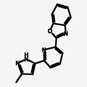 Cc1cc(-c2cccc(-c3nc4ccccc4o3)n2)[nH]n1